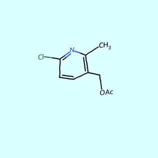 CC(=O)OCc1ccc(Cl)nc1C